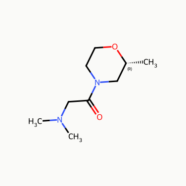 C[C@@H]1CN(C(=O)CN(C)C)CCO1